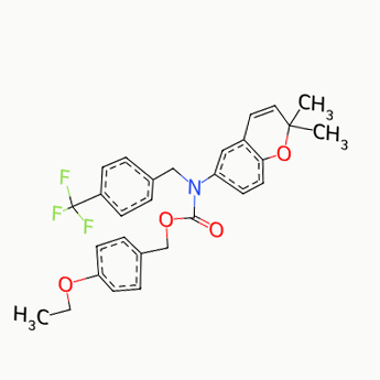 CCOc1ccc(COC(=O)N(Cc2ccc(C(F)(F)F)cc2)c2ccc3c(c2)C=CC(C)(C)O3)cc1